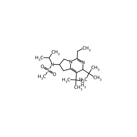 CCC1=NC(C(C)(C)C)C(C(C)(C)C)=C2CC(N(C(C)C)S(C)(=O)=O)CN12